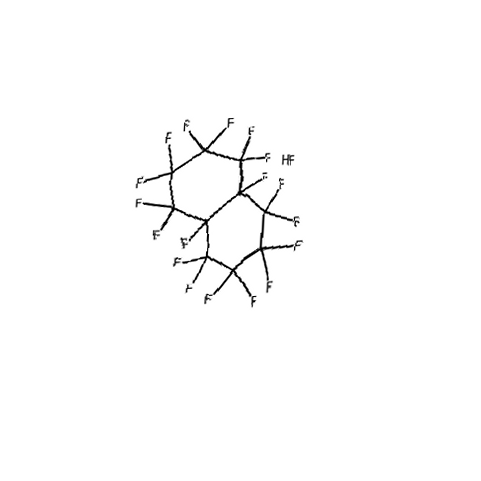 F.FC1(F)C(F)(F)C(F)(F)C2(F)C(F)(F)C(F)(F)C(F)(F)C(F)(F)C2(F)C1(F)F